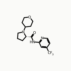 O=C(Nc1cc(C(F)(F)F)ccn1)[C@@H]1CCCN1C1CCOCC1